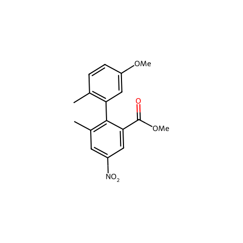 COC(=O)c1cc([N+](=O)[O-])cc(C)c1-c1cc(OC)ccc1C